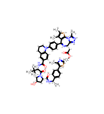 COC(=O)C[C@@H]1N=C(c2ccc(N3CCCc4cc(C(=O)N[C@H](C(=O)N5C[C@H](O)C[C@H]5C(=O)N[C@@H](C)c5ccc(-c6scnc6C)cc5)C(C)(C)C)ccc43)cc2)c2c(sc(C)c2C)-n2c(C)nnc21